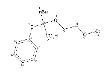 CCCCC(OCCOCC)(Oc1ccccc1)C(=O)O